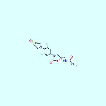 CC(=O)NC[C@H]1CN(c2cc(F)c(-n3cc4c(c3)[S+]4[O-])c(F)c2)C(=O)O1